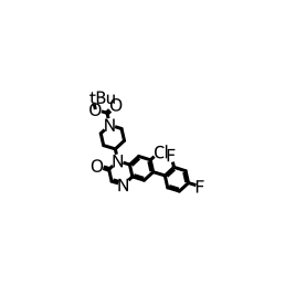 CC(C)(C)OC(=O)N1CCC(n2c(=O)cnc3cc(-c4ccc(F)cc4F)c(Cl)cc32)CC1